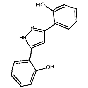 Oc1ccccc1-c1cc(-c2ccccc2O)[nH]n1